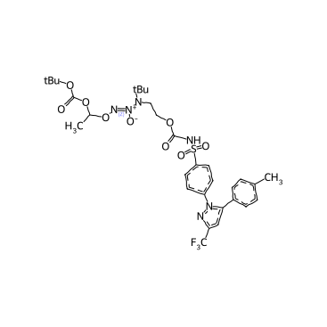 Cc1ccc(-c2cc(C(F)(F)F)nn2-c2ccc(S(=O)(=O)NC(=O)OCCN(/[N+]([O-])=N/OC(C)OC(=O)OC(C)(C)C)C(C)(C)C)cc2)cc1